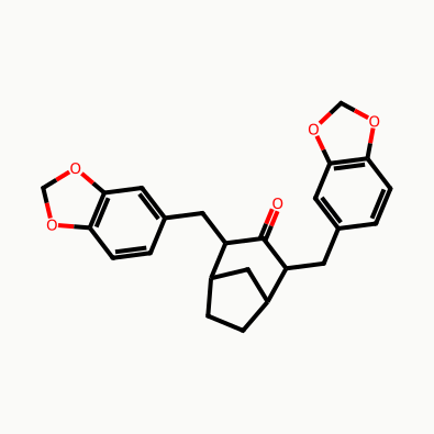 O=C1C(Cc2ccc3c(c2)OCO3)C2CCC(C2)C1Cc1ccc2c(c1)OCO2